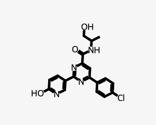 CC(CO)NC(=O)c1cc(-c2ccc(Cl)cc2)nc(-c2ccc(O)nc2)n1